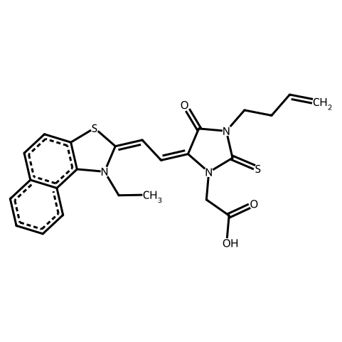 C=CCCN1C(=O)C(=CC=C2Sc3ccc4ccccc4c3N2CC)N(CC(=O)O)C1=S